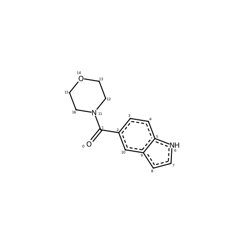 O=C(c1ccc2[nH]ccc2c1)N1CCOCC1